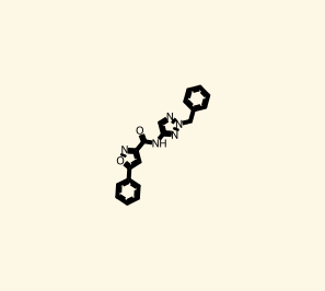 O=C(Nc1cnn(Cc2ccccc2)n1)c1cc(-c2ccccc2)on1